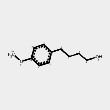 OCCCCc1ccc(OC(F)(F)F)cc1